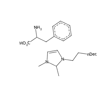 CCCCCCCCCCCCN1C=CN(C)C1C.NC(Cc1ccccc1)C(=O)O